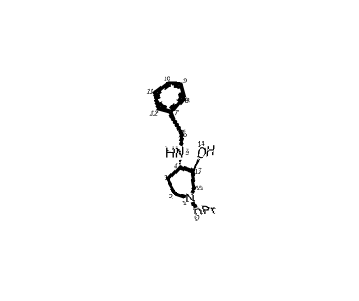 CCCN1CC[C@H](NCc2ccccc2)[C@@H](O)C1